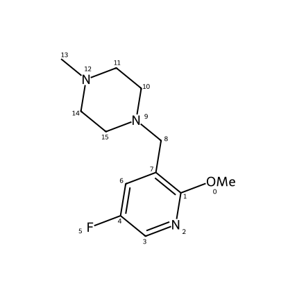 COc1ncc(F)cc1CN1CCN(C)CC1